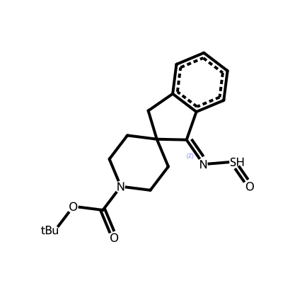 CC(C)(C)OC(=O)N1CCC2(CC1)Cc1ccccc1/C2=N\[SH]=O